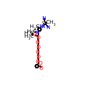 CCN(CC(COC(C)C)OCCOCCOCCOCCOCCOC(=O)c1ccccc1C=O)c1ccc(/N=N/c2sc(C#N)c(C)c2C#N)c(C)c1